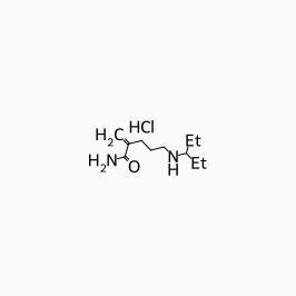 C=C(CCCNC(CC)CC)C(N)=O.Cl